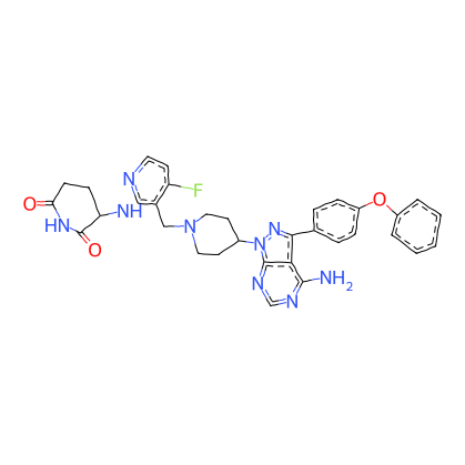 Nc1ncnc2c1c(-c1ccc(Oc3ccccc3)cc1)nn2C1CCN(Cc2c(F)ccnc2NC2CCC(=O)NC2=O)CC1